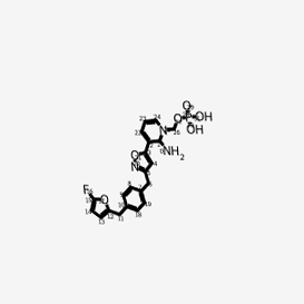 NC1C(c2cc(Cc3ccc(Cc4ccc(F)o4)cc3)no2)=CC=CN1COP(=O)(O)O